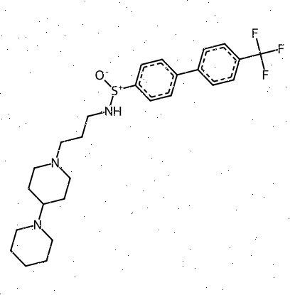 [O-][S+](NCCCN1CCC(N2CCCCC2)CC1)c1ccc(-c2ccc(C(F)(F)F)cc2)cc1